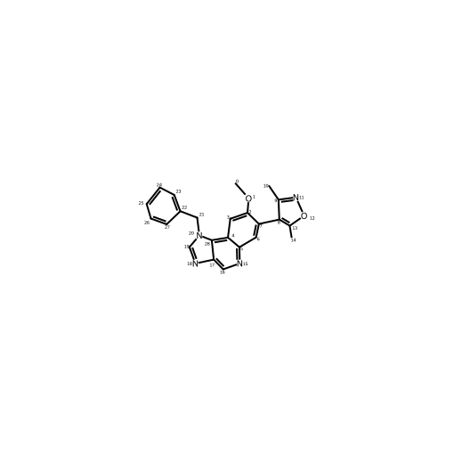 COc1cc2c(cc1-c1c(C)noc1C)ncc1n[c]n(Cc3ccccc3)c12